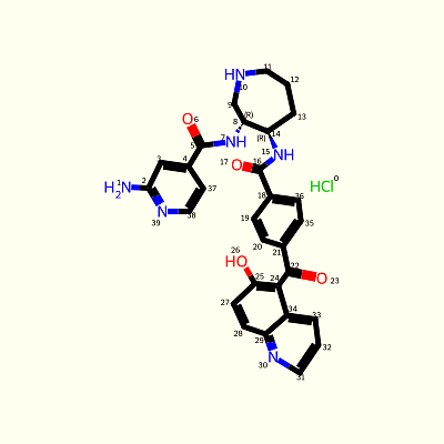 Cl.Nc1cc(C(=O)N[C@@H]2CNCCC[C@H]2NC(=O)c2ccc(C(=O)c3c(O)ccc4ncccc34)cc2)ccn1